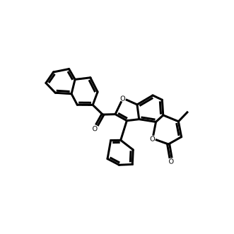 Cc1cc(=O)oc2c1ccc1oc(C(=O)c3ccc4ccccc4c3)c(-c3ccccc3)c12